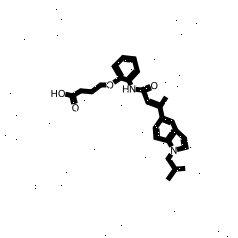 C/C(=C\C(=O)Nc1ccccc1OCCCC(=O)O)c1ccc2c(ccn2CC(C)C)c1